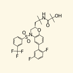 CC(C)(C[C@@H]1CN(S(=O)(=O)c2cccc(C(F)(F)F)c2)c2cc(-c3cc(F)ccc3F)ccc2O1)NC(=O)C(C)(C)O